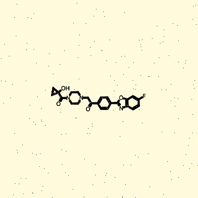 O=C(CN1CCN(C(=O)C2(O)CC2)CC1)c1ccc(-c2nc3ccc(F)cc3o2)cc1